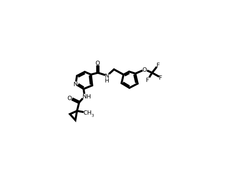 CC1(C(=O)Nc2cc(C(=O)NCc3cccc(OC(F)(F)F)c3)ccn2)CC1